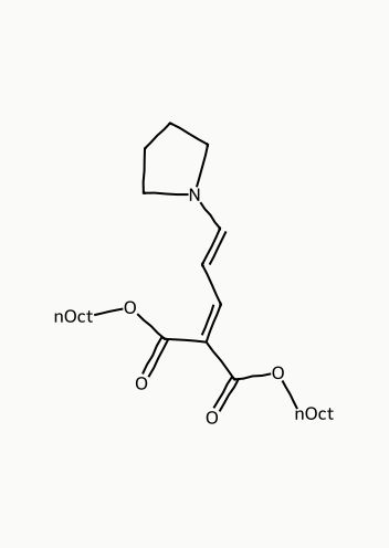 CCCCCCCCOC(=O)C(=CC=CN1CCCC1)C(=O)OCCCCCCCC